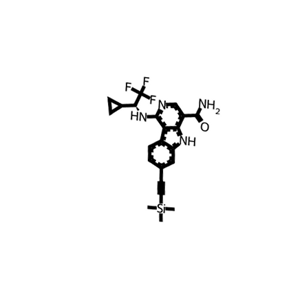 C[Si](C)(C)C#Cc1ccc2c(c1)[nH]c1c(C(N)=O)cnc(N[C@H](C3CC3)C(F)(F)F)c12